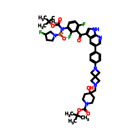 CC(C)(C)OC(=O)N1CCC(O)(CN2CC3(C2)CN(c2ccc(-c4cnc5[nH]cc(C(=O)c6c(F)ccc(N(C(=O)OC(C)(C)C)[S+]([O-])N7CCC(F)C7)c6F)c5c4)cc2)C3)CC1